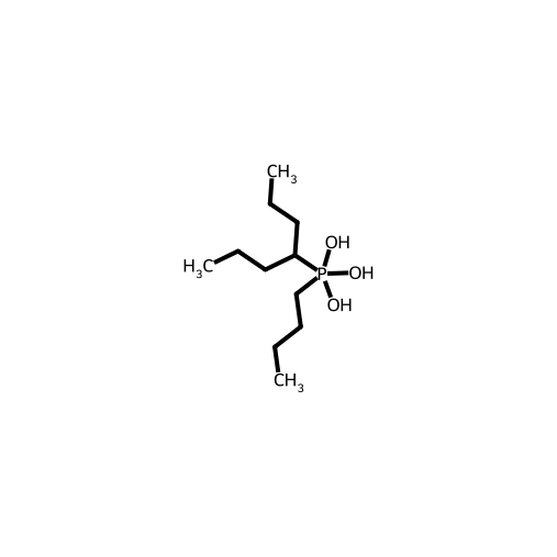 CCCCP(O)(O)(O)C(CCC)CCC